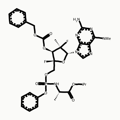 CNc1nc(N)nc2c1ncn2[C@@H]1O[C@](F)(COP(=O)(N[C@@H](C)C(=O)OC(C)C)Oc2ccccc2)[C@@H](OC(=O)OCc2ccccc2)[C@@]1(C)F